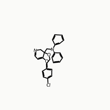 COC1=CC=NCC1(CN(c1ccccc1)c1ccccc1)OCCc1ccc(Cl)cc1